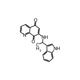 CC(NC1=CC(=O)c2cccnc2C1=O)c1c[nH]c2ccccc12